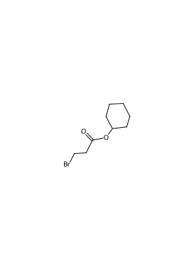 O=C(CCBr)OC1CCCCC1